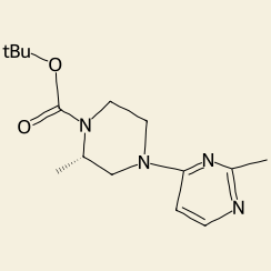 Cc1nccc(N2CCN(C(=O)OC(C)(C)C)[C@@H](C)C2)n1